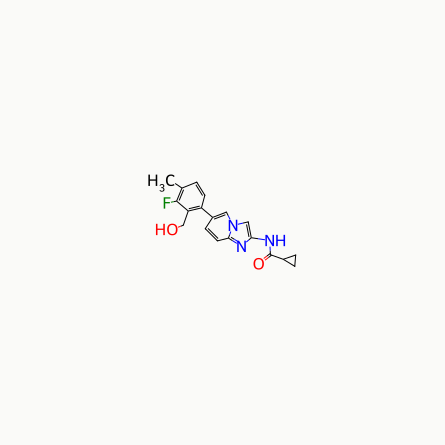 Cc1ccc(-c2ccc3nc(NC(=O)C4CC4)cn3c2)c(CO)c1F